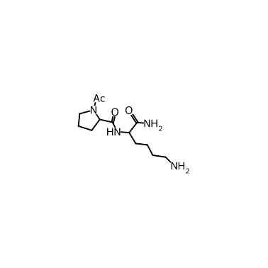 CC(=O)N1CCCC1C(=O)NC(CCCCN)C(N)=O